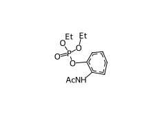 CCOP(=O)(OCC)Oc1ccccc1NC(C)=O